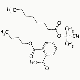 CCCCCCCC(=O)OC(C)(C)C.CCCCOC(=O)c1ccccc1C(=O)O